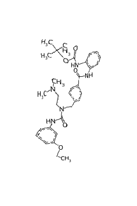 CCOc1cccc(NC(=O)N(CCN(C)C)Cc2ccc(C(=O)Nc3ccccc3NC(=O)OC(C)(C)C)cc2)c1